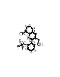 OCc1cc2cccc(Cl)c2nc1-c1ccccc1OC(F)(F)F